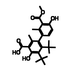 COC(=O)c1c(O)ccc(-c2c(C)c(C(=O)O)c(O)c(C(C)(C)C)c2C(C)(C)C)c1C